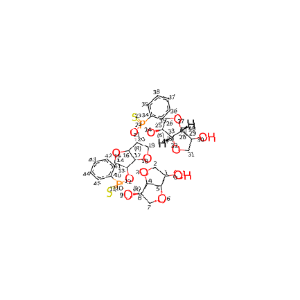 OC1COC2C1OC[C@H]2OP(=S)(OC1COC2C1OC[C@H]2OP(=S)(O[C@H]1CO[C@@H]2C(O)CO[C@H]12)c1ccccc1)c1ccccc1